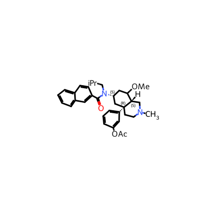 COC1C[C@@H](N(CC(C)C)C(=O)c2ccc3ccccc3c2)C[C@]2(c3cccc(OC(C)=O)c3)CCN(C)C[C@@H]12